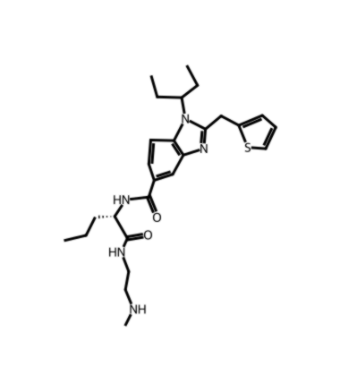 CCC[C@H](NC(=O)c1ccc2c(c1)nc(Cc1cccs1)n2C(CC)CC)C(=O)NCCNC